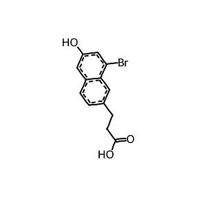 O=C(O)CCc1ccc2cc(O)cc(Br)c2c1